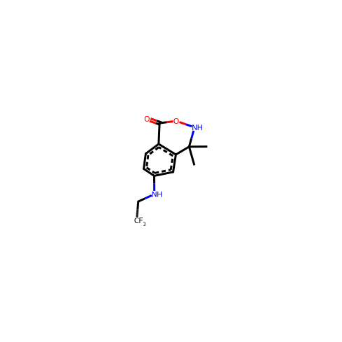 CC1(C)NOC(=O)c2ccc(NCC(F)(F)F)cc21